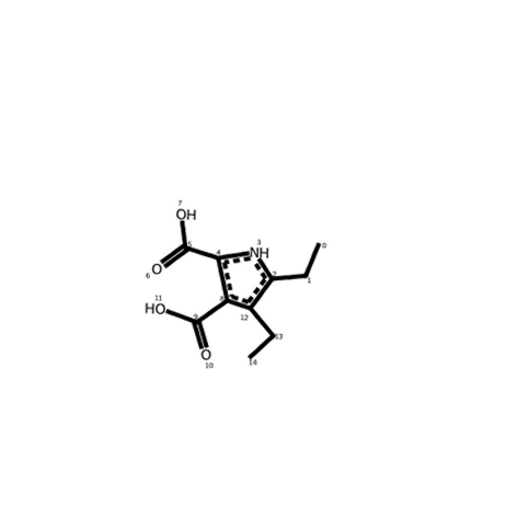 CCc1[nH]c(C(=O)O)c(C(=O)O)c1CC